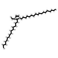 CCCCCCCCCCCCCCCCCCN1C=CN(CC)C1CCCCCCCCCCCCCCC